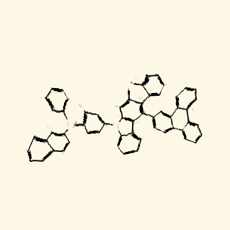 c1ccc(N(c2ccc(-n3c4ccccc4c4c(-c5ccc6c7ccccc7c7ccccc7c6c5)c5c(cc43)oc3ccccc35)cc2)c2ccc3ccccc3c2)cc1